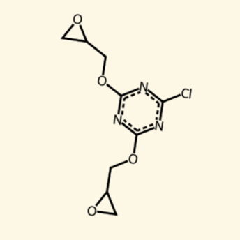 Clc1nc(OCC2CO2)nc(OCC2CO2)n1